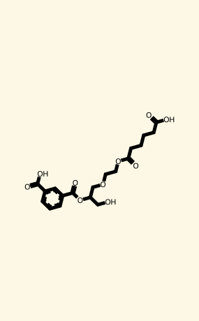 O=C(O)CCCCC(=O)OCCOCC(CO)OC(=O)c1cccc(C(=O)O)c1